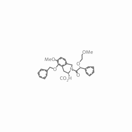 COCCO[C@@H](C(=O)N1Cc2ccc(OC)c(OCc3ccccc3)c2C[C@@H]1C(=O)O)c1ccccc1